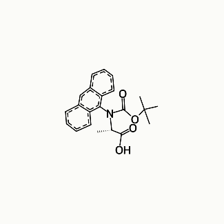 C[C@@H](C(=O)O)N(C(=O)OC(C)(C)C)c1c2ccccc2cc2ccccc12